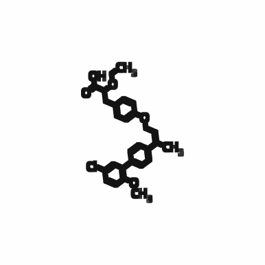 CCOC(Cc1ccc(OCC=C(C)c2ccc(-c3cc(Cl)ccc3OC)cc2)cc1)C(=O)O